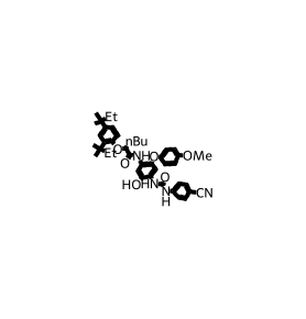 CCCCC(Oc1ccc(C(C)(C)CC)cc1C(C)(C)CC)C(=O)Nc1cc(O)c(NC(=O)Nc2ccc(C#N)cc2)cc1Oc1ccc(OC)cc1